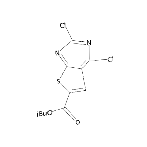 CC(C)COC(=O)c1cc2c(Cl)nc(Cl)nc2s1